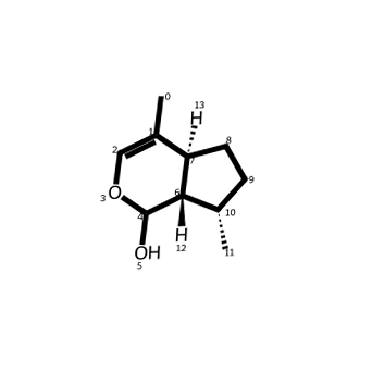 CC1=COC(O)[C@@H]2[C@@H]1CC[C@@H]2C